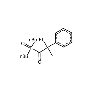 CCCCP(=O)(CCCC)C(=O)C(C)(CC)c1ccccc1